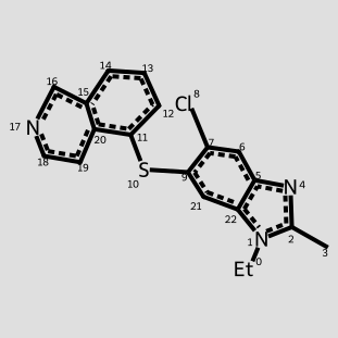 CCn1c(C)nc2cc(Cl)c(Sc3cccc4cnccc34)cc21